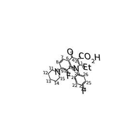 CCc1c(C(=O)O)c(=O)c2ccc(N3CCCCC3)c(F)c2n1-c1ccc(F)cc1